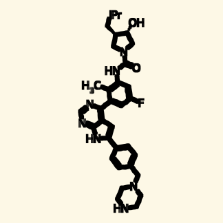 Cc1c(NC(=O)N2C[C@@H](CC(C)C)[C@H](O)C2)cc(F)cc1-c1ncnc2[nH]c(-c3ccc(CN4CCNCC4)cc3)cc12